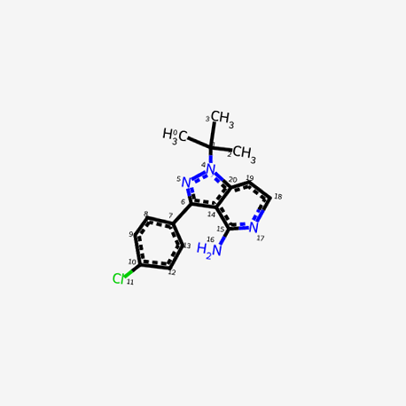 CC(C)(C)n1nc(-c2ccc(Cl)cc2)c2c(N)nccc21